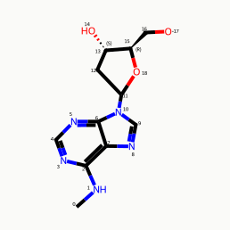 CNc1ncnc2c1ncn2C1C[C@H](O)[C@@H](C[O])O1